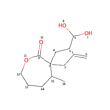 C=CCC1(CCC(O)O)C(=O)OCCCC1C